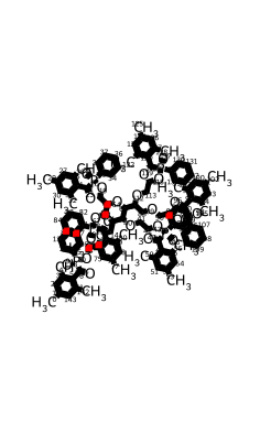 Cc1cc(C)c(C(=O)P(=O)(OCCOCC(OCCOP(=O)(C(=O)c2c(C)cc(C)cc2C)c2ccccc2)C(OCCOP(=O)(C(=O)c2c(C)cc(C)cc2C)c2ccccc2)C(OCCOP(=O)(C(=O)c2c(C)cc(C)cc2C)c2ccccc2)C(COCCOP(=O)(C(=O)c2c(C)cc(C)cc2C)c2ccccc2)OCCOP(=O)(C(=O)c2c(C)cc(C)cc2C)c2ccccc2)c2ccccc2)c(C)c1